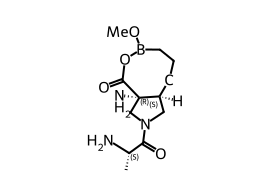 COB1CCC[C@H]2CN(C(=O)[C@H](C)N)C[C@@]2(N)C(=O)O1